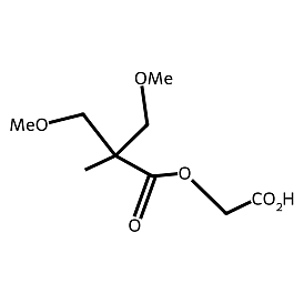 COCC(C)(COC)C(=O)OCC(=O)O